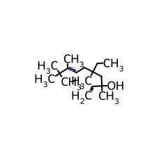 C=CC(C)(O)CC(C)(CC)C/C=C(\C)C(C)(C)C